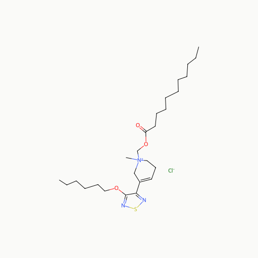 CCCCCCCCCCC(=O)OC[N+]1(C)CCC=C(c2nsnc2OCCCCCC)C1.[Cl-]